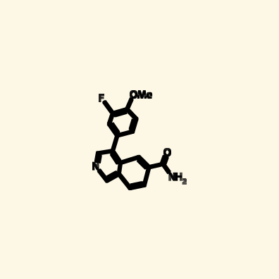 COc1ccc(-c2cncc3ccc(C(N)=O)cc23)cc1F